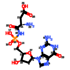 Nc1nc2c(ncn2[C@H]2C[C@H](O)[C@@H](COP(=O)(O)NC(=O)[C@@H](N)CC(=O)O)O2)c(=O)[nH]1